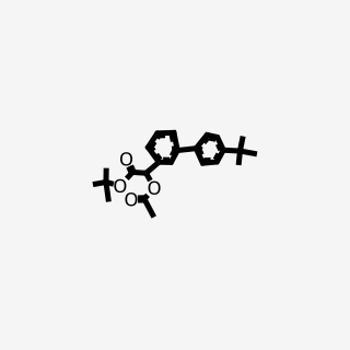 CC(=O)OC(C(=O)OC(C)(C)C)c1cccc(-c2ccc(C(C)(C)C)cc2)c1